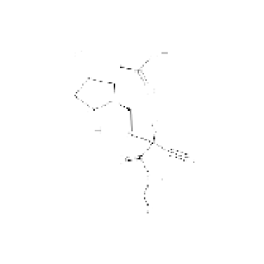 CCOC(=O)C(O)(C#N)C=C[C@@H]1[C@@H](CC(=O)O)[C@@H](O)C[C@H]1O